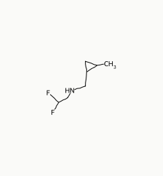 CC1CC1CNCC(F)F